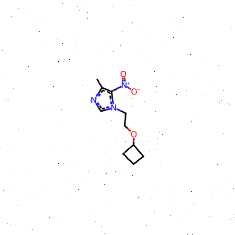 Cc1ncn(CCOC2CCC2)c1[N+](=O)[O-]